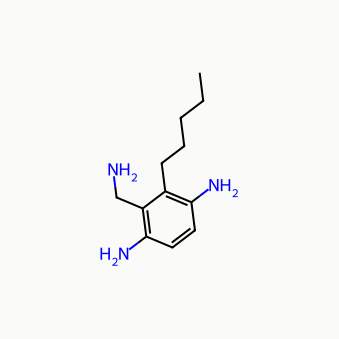 CCCCCc1c(N)ccc(N)c1CN